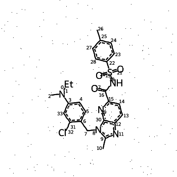 CCN(C)c1ccc(Cn2c(C)nc3ccc(C(=O)NS(=O)(=O)c4ccc(C)cc4)nc32)c(Cl)c1